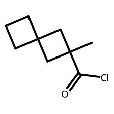 CC1(C(=O)Cl)CC2(CCC2)C1